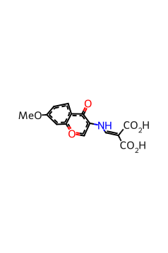 COc1ccc2c(=O)c(NC=C(C(=O)O)C(=O)O)coc2c1